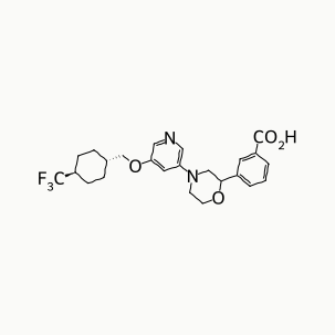 O=C(O)c1cccc(C2CN(c3cncc(OC[C@H]4CC[C@H](C(F)(F)F)CC4)c3)CCO2)c1